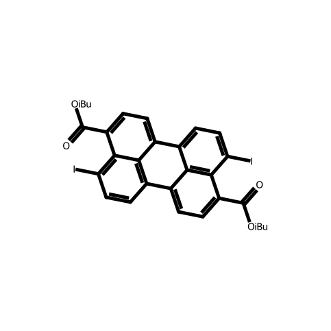 CC(C)COC(=O)c1ccc2c3ccc(I)c4c(C(=O)OCC(C)C)ccc(c5ccc(I)c1c52)c43